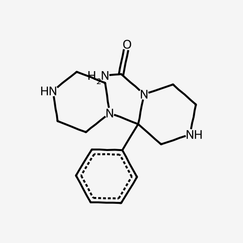 NC(=O)N1CCNCC1(c1ccccc1)N1CCNCC1